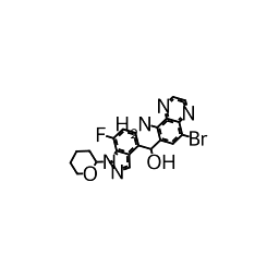 Nc1c(C(O)c2ccc(F)c3c2cnn3C2CCCCO2)cc(Br)c2nccnc12